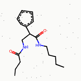 CCCCCNC(=O)C(CNC(=O)CCC)c1ccccc1